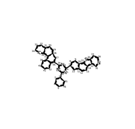 c1ccc(-c2nc(-c3ccc4c(ccc5c6cnccc6sc45)c3)nc(-c3cc4ccc5ccccc5c4c4ccccc34)n2)cc1